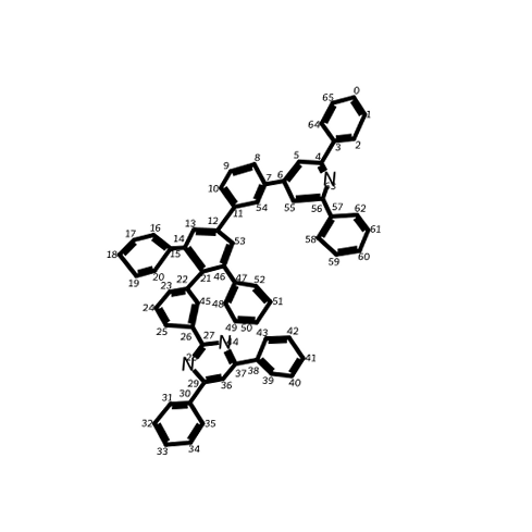 c1ccc(-c2cc(-c3cccc(-c4cc(-c5ccccc5)c(-c5cccc(-c6nc(-c7ccccc7)cc(-c7ccccc7)n6)c5)c(-c5ccccc5)c4)c3)cc(-c3ccccc3)n2)cc1